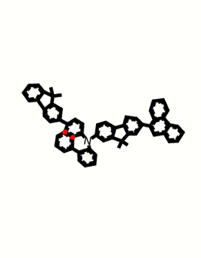 CC1(C)c2ccccc2-c2ccc(-c3ccc(N(c4ccc5c(c4)C(C)(C)c4cc(-c6cc7ccccc7c7ccccc67)ccc4-5)c4ccccc4-c4ccccc4)cc3)cc21